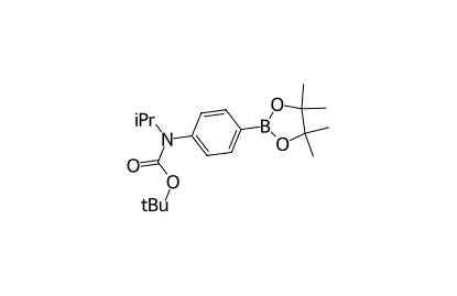 CC(C)N(C(=O)OC(C)(C)C)c1ccc(B2OC(C)(C)C(C)(C)O2)cc1